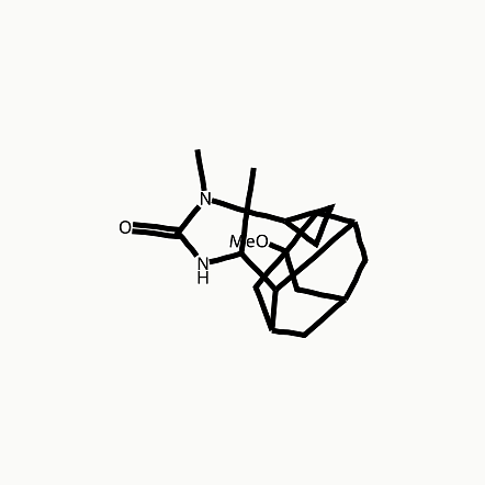 COC12CC3CC(C1)C(C1NC(=O)N(C)C1(C)C1CC1)C(C3)C2